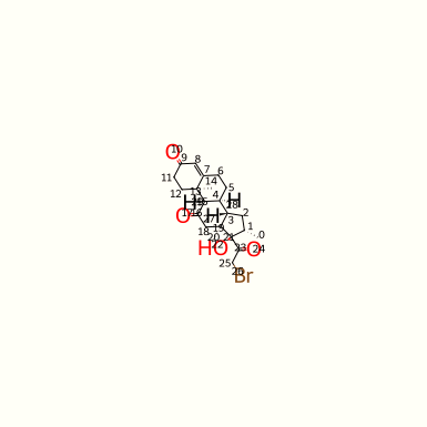 C[C@H]1C[C@H]2[C@@H]3CCC4=CC(=O)CC[C@]4(C)[C@H]3C(=O)C[C@]2(C)[C@@]1(O)C(=O)CBr